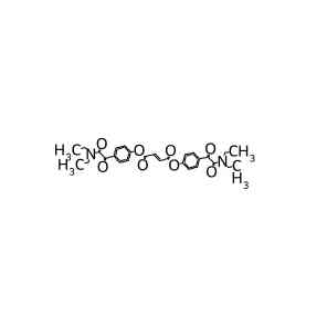 CCN(CC)C(=O)C(=O)c1ccc(OC(=O)/C=C/C(=O)Oc2ccc(C(=O)C(=O)N(CC)CC)cc2)cc1